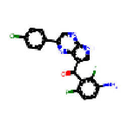 Nc1ccc(F)c(C(=O)c2c[nH]c3ncc(-c4ccc(Cl)cc4)nc23)c1F